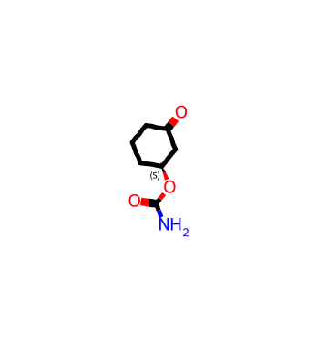 NC(=O)O[C@H]1CCCC(=O)C1